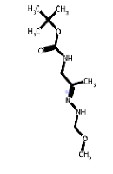 COCN/N=C(\C)CNC(=O)OC(C)(C)C